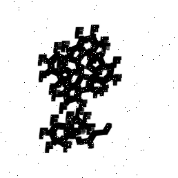 CCCC(C)C[PH+](c1cc(F)c(F)c(F)c1F)C(F)(F)C(F)(F)F.FC1=C(F)C([B-](C2C(F)=C(F)c3c(F)c(F)c(F)c(F)c32)(C2C(F)=C(F)c3c(F)c(F)c(F)c(F)c32)C2C(F)=C(F)c3c(F)c(F)c(F)c(F)c32)c2c(F)c(F)c(F)c(F)c21